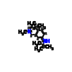 CN1Cc2cc(NC(C)(C)C)ccc2C(C)(C)C1